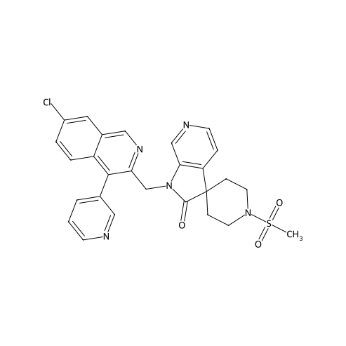 CS(=O)(=O)N1CCC2(CC1)C(=O)N(Cc1ncc3cc(Cl)ccc3c1-c1cccnc1)c1cnccc12